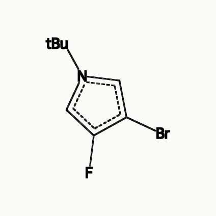 CC(C)(C)n1cc(F)c(Br)c1